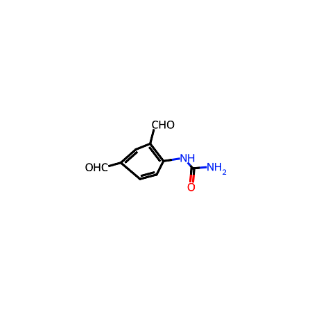 NC(=O)Nc1ccc(C=O)cc1C=O